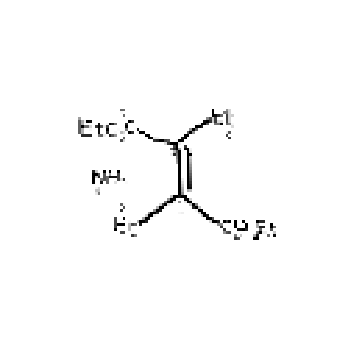 CCOC(=O)/C(CC)=C(\CC)C(=O)OCC.N